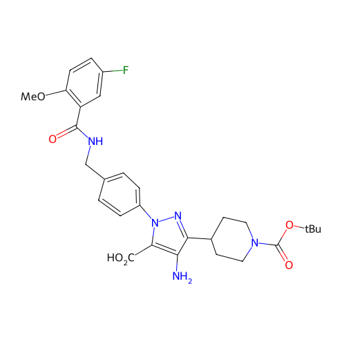 COc1ccc(F)cc1C(=O)NCc1ccc(-n2nc(C3CCN(C(=O)OC(C)(C)C)CC3)c(N)c2C(=O)O)cc1